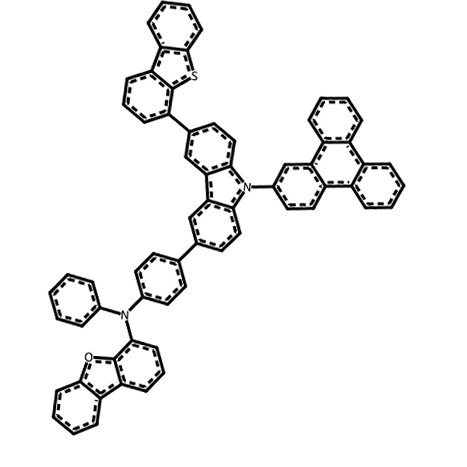 c1ccc(N(c2ccc(-c3ccc4c(c3)c3cc(-c5cccc6c5sc5ccccc56)ccc3n4-c3ccc4c5ccccc5c5ccccc5c4c3)cc2)c2cccc3c2oc2ccccc23)cc1